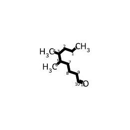 CCCC(C)C(C)CCCC=O